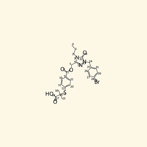 CCCn1c(COC(=O)c2ccc(SC(C)(C)C(=O)O)cc2)nn(Cc2ccc(Br)cc2)c1=O